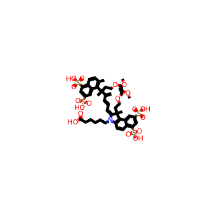 C=C(/C=C/C=C1/N(CCCCCC(=O)O)c2ccc3c(S(=O)(=O)O)cc(S(=O)(=O)O)cc3c2C1(C)CCOCCOC)C(C)(CCOCCOC)c1c(C)ccc2c(S(=O)(=O)O)cc(S(=O)(=O)O)cc12